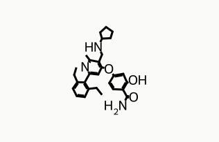 CCc1cccc(CC)c1-c1cc(Oc2ccc(C(N)=O)c(O)c2)c(CNC2CCCC2)c(C)n1